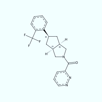 O=C(c1cccnn1)N1C[C@H]2C[C@@H](c3ccccc3C(F)(F)F)C[C@H]2C1